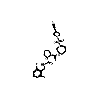 Cc1cccc(F)c1CNC(=O)[C@H]1CCCN1C(=O)[C@H]1CCCN(S(=O)(=O)N2CC(C#N)C2)C1